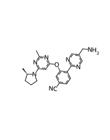 Cc1nc(Oc2cc(C#N)ccc2-c2ncc(CN)cn2)cc(N2CCC[C@H]2C)n1